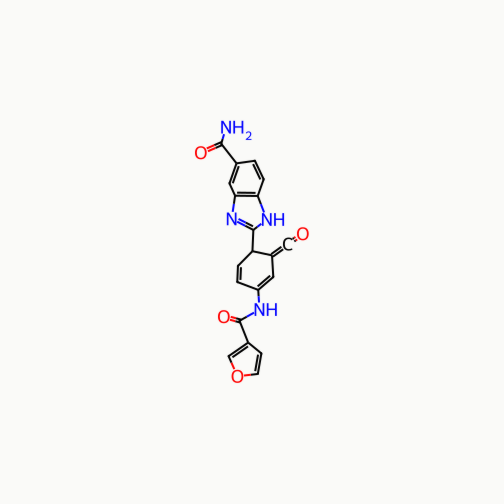 NC(=O)c1ccc2[nH]c(C3C=CC(NC(=O)c4ccoc4)=CC3=C=O)nc2c1